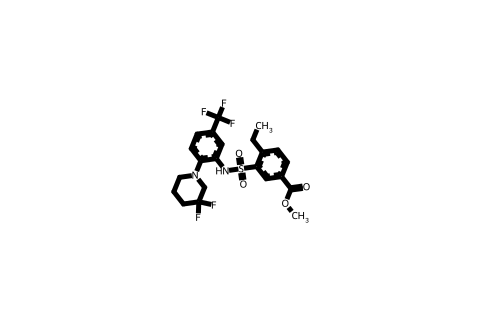 CCc1ccc(C(=O)OC)cc1S(=O)(=O)Nc1cc(C(F)(F)F)ccc1N1CCCC(F)(F)C1